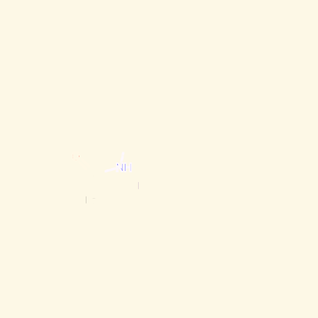 CCC(=O)NC(C)Cc1c(I)ccc2ccccc12